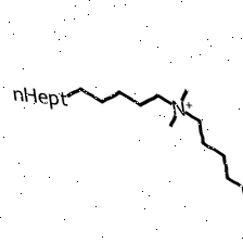 CCCCCCCCCCCC[N+](C)(C)CCCCO